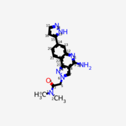 CN(C)C(=O)Cn1cc2c(N)nc3cc(-c4ccn[nH]4)ccc3c2n1